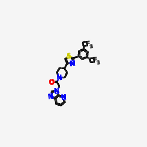 O=C(Cn1cnc2cccnc21)N1CCC(c2csc(-c3cc(C(F)(F)F)cc(C(F)(F)F)c3)n2)CC1